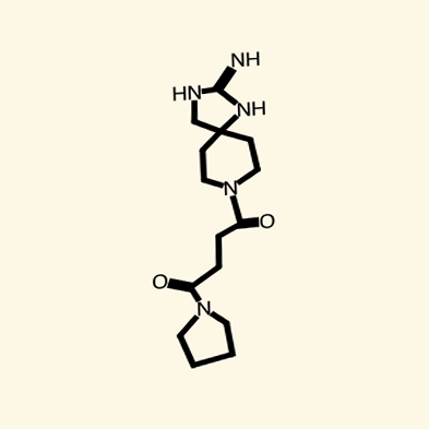 N=C1NCC2(CCN(C(=O)CCC(=O)N3CCCC3)CC2)N1